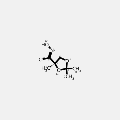 CC1(C)OC[C@](C)(C(Cl)=NO)O1